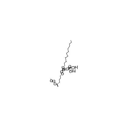 C=C(CCCCOOOOCCCCCCCCCCCC)OOOC.O=P(O)(O)O